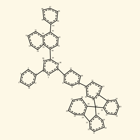 c1ccc(-c2nc(-c3ccc(-c4ccc5c(c4)C4(c6ccccc6-c6ccccc64)c4ccccc4-5)cc3)nc(-c3ccc(-c4ccccc4)c4ccccc34)n2)cc1